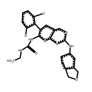 O=C(O)CNC(=O)Nc1nc2nc(Nc3ccc4c(c3)COC4)ncc2cc1-c1c(Cl)cccc1Cl